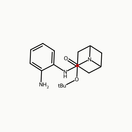 CC(C)(C)OC(=O)N1C2CC(Nc3ccccc3N)CC1C2